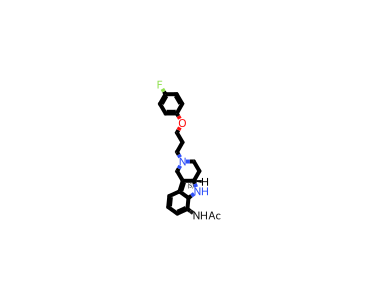 CC(=O)NC1=CC=CC2=C3CN(CCCOc4ccc(F)cc4)CC[C@@H]3NC12